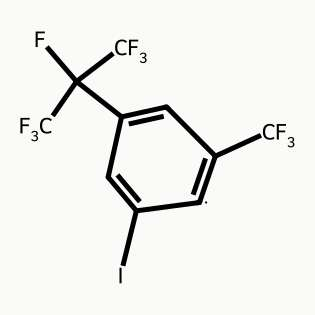 FC(F)(F)c1[c]c(I)cc(C(F)(C(F)(F)F)C(F)(F)F)c1